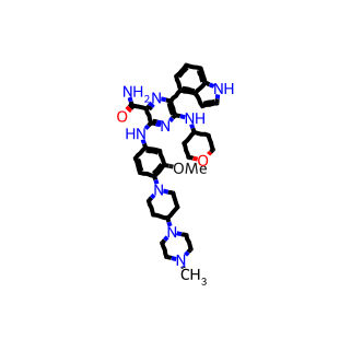 COc1cc(Nc2nc(NC3CCOCC3)c(-c3cccc4[nH]ccc34)nc2C(N)=O)ccc1N1CCC(N2CCN(C)CC2)CC1